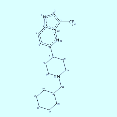 FC(F)(F)c1nnc2ccc(N3CCN(CC4CCCCC4)CC3)nn12